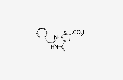 C=C1NC(Cc2ccccc2)=Nc2sc(C(=O)O)cc21